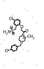 C[C@@H]1CN(Cc2ccc(Cl)cc2)CCN1C(=O)COc1ccc(Cl)cc1CS(N)(=O)=O